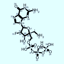 NC[C@]1(COP(=O)(O)OP(=O)(O)OP(=O)(O)O)OC(n2cnc3c(=O)[nH]c(N)nc32)[C@H](F)[C@@H]1O